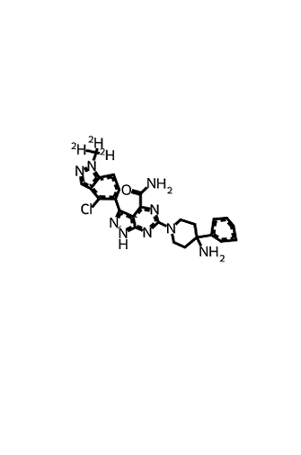 [2H]C([2H])([2H])n1ncc2c(Cl)c(-c3n[nH]c4nc(N5CCC(N)(c6ccccc6)CC5)nc(C(N)=O)c34)ccc21